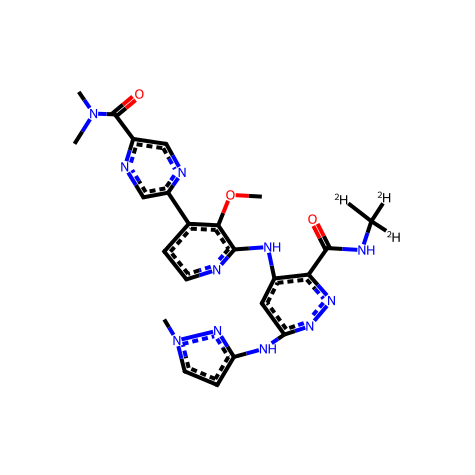 [2H]C([2H])([2H])NC(=O)c1nnc(Nc2ccn(C)n2)cc1Nc1nccc(-c2cnc(C(=O)N(C)C)cn2)c1OC